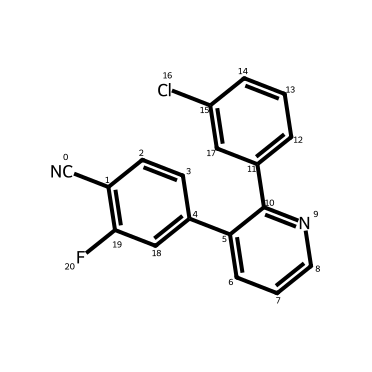 N#Cc1ccc(-c2cccnc2-c2cccc(Cl)c2)cc1F